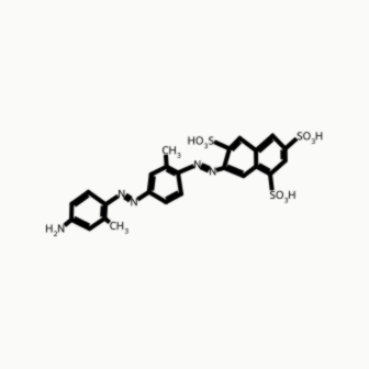 Cc1cc(N)ccc1N=Nc1ccc(N=Nc2cc3c(S(=O)(=O)O)cc(S(=O)(=O)O)cc3cc2S(=O)(=O)O)c(C)c1